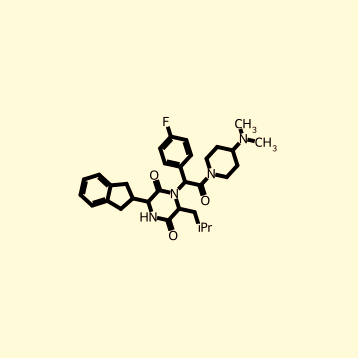 CC(C)CC1C(=O)NC(C2Cc3ccccc3C2)C(=O)N1C(C(=O)N1CCC(N(C)C)CC1)c1ccc(F)cc1